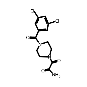 NC(=O)C(=O)N1CCN(C(=O)c2cc(Cl)cc(Cl)c2)CC1